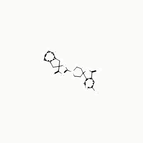 O=C1OC2(CCN(C3=NC(=O)C4(Cc5ccccc5C4)O3)CC2)c2cnc(Cl)cc21